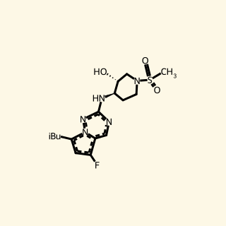 CCC(C)c1cc(F)c2cnc(N[C@@H]3CCN(S(C)(=O)=O)C[C@H]3O)nn12